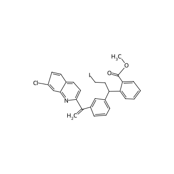 C=C(c1cccc(C(CCI)c2ccccc2C(=O)OC)c1)c1ccc2ccc(Cl)cc2n1